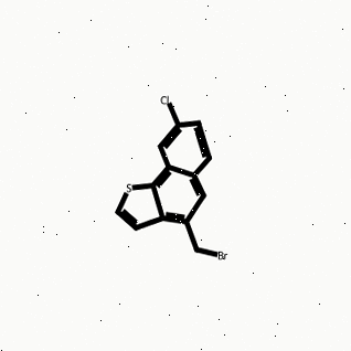 Clc1ccc2cc(CBr)c3ccsc3c2c1